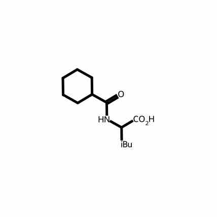 CCC(C)C(NC(=O)C1CCCCC1)C(=O)O